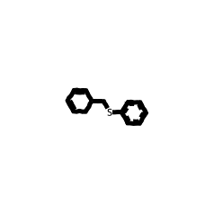 [c]1ccccc1SCC1C=CC=CC1